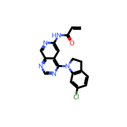 C=CC(=O)Nc1cc2c(N3CCc4ccc(Cl)cc43)ncnc2cn1